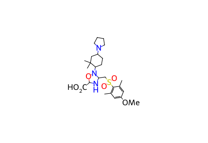 COc1cc(C)c(S(=O)(=O)CC2NC(C(=O)O)ON2C2CCC(N3CCCC3)CC2(C)C)c(C)c1